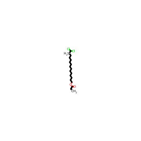 C=CC(=O)OCCCCCCCCCCCCC[SiH2]C(Cl)Cl